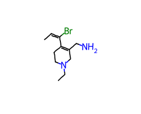 C/C=C(/Br)C1=C(CN)CN(CC)CC1